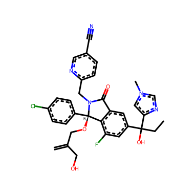 C=C(CO)CO[C@]1(c2ccc(Cl)cc2)c2c(F)cc(C(O)(CC)c3cn(C)cn3)cc2C(=O)N1Cc1ccc(C#N)cn1